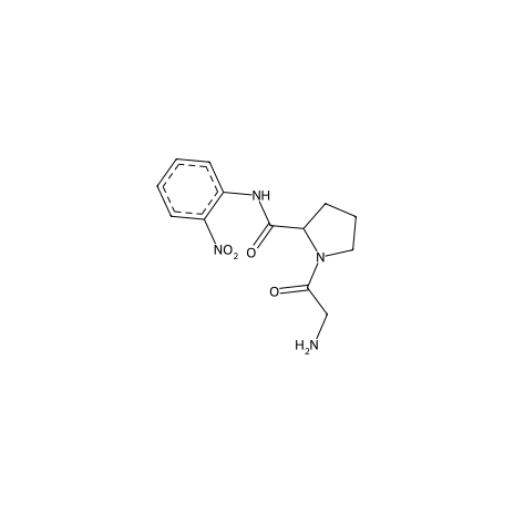 NCC(=O)N1CCCC1C(=O)Nc1ccccc1[N+](=O)[O-]